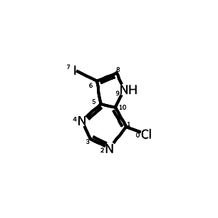 Clc1ncnc2c(I)c[nH]c12